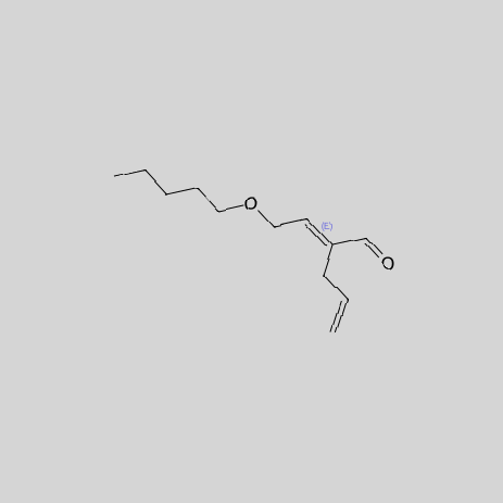 C=CC/C(C=O)=C\COCCCCC